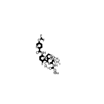 CC(C)(C)OC(=O)NC1=N[C@](C)(c2nc(NC(=O)c3ccc(OC(F)F)cn3)ccc2F)[C@@H]2CCN=[S@]2(=O)C1(C)C